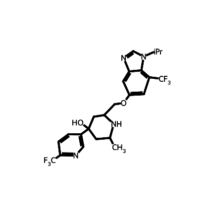 CC1CC(O)(c2ccc(C(F)(F)F)nc2)CC(COc2cc(C(F)(F)F)c3c(c2)ncn3C(C)C)N1